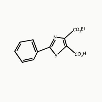 CCOC(=O)c1nc(-c2ccccc2)sc1C(=O)O